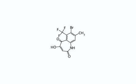 Cc1cc2[nH]c(=O)cc(O)c(=O)c2c(C(F)(F)F)c1Br